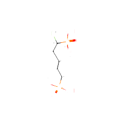 O=P(O)(O)CCCCC(F)P(=O)(O)O